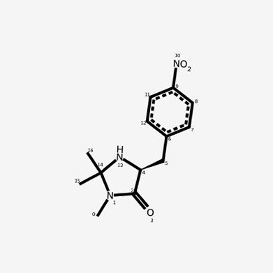 CN1C(=O)[C@H](Cc2ccc([N+](=O)[O-])cc2)NC1(C)C